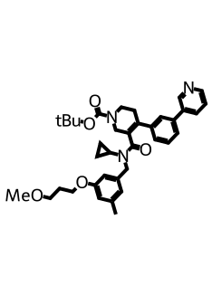 COCCCOc1cc(C)cc(CN(C(=O)C2=C(c3cccc(-c4cccnc4)c3)CCN(C(=O)OC(C)(C)C)C2)C2CC2)c1